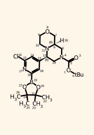 CC(C)(C)OC(=O)N1C[C@@H]2COCCN2[C@H](c2cc(Cl)nc(B3OC(C)(C)C(C)(C)O3)c2)C1